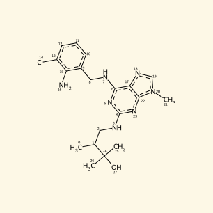 CC(CNc1nc(NCc2cccc(Cl)c2N)c2ncn(C)c2n1)C(C)(C)O